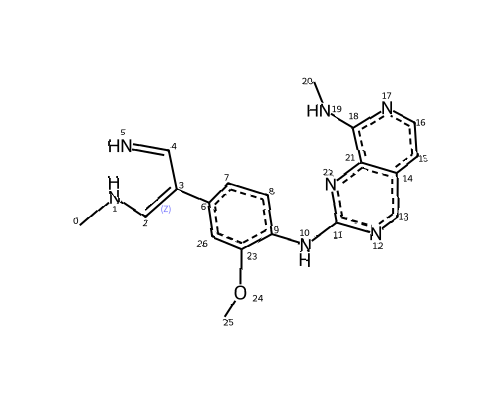 CN/C=C(\C=N)c1ccc(Nc2ncc3ccnc(NC)c3n2)c(OC)c1